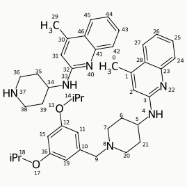 Cc1cc(NC2CCN(Cc3cc(OC(C)C)cc(OC(C)C)c3)CC2)nc2ccccc12.Cc1cc(NC2CCNCC2)nc2ccccc12